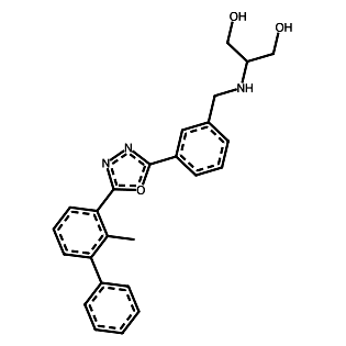 Cc1c(-c2ccccc2)cccc1-c1nnc(-c2cccc(CNC(CO)CO)c2)o1